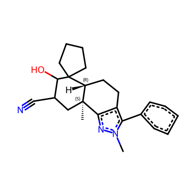 Cn1nc2c(c1-c1ccccc1)CC[C@H]1C3(CCCC3)C(O)C(C#N)C[C@]21C